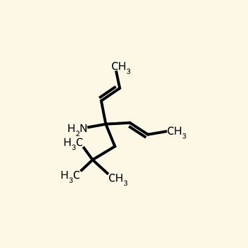 CC=CC(N)(C=CC)CC(C)(C)C